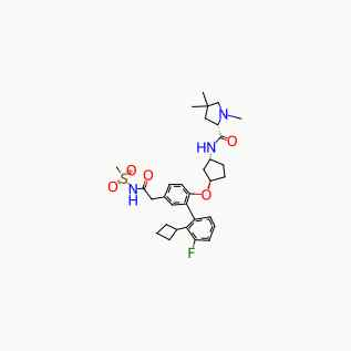 CN1CC(C)(C)C[C@H]1C(=O)N[C@@H]1CC[C@@H](Oc2ccc(CC(=O)NS(C)(=O)=O)cc2-c2cccc(F)c2C2CCC2)C1